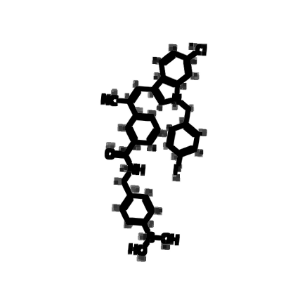 N#CC(=Cc1cn(Cc2ccc(F)cc2)c2cc(Cl)ccc12)c1cccc(C(=O)NCc2ccc(B(O)O)cc2)c1